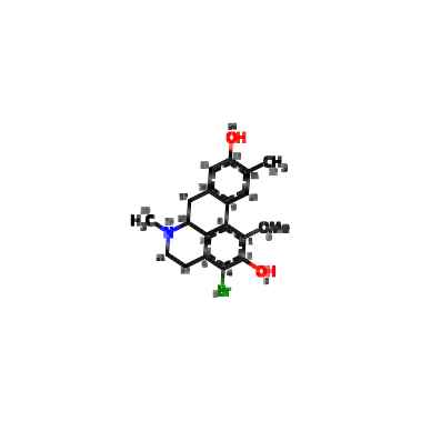 COc1c(O)c(Br)c2c3c1-c1cc(C)c(O)cc1CC3N(C)CC2